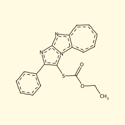 CCOC(=O)Sc1c(-c2ccccc2)nc2nc3cccccc3n12